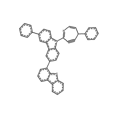 C1#CC(c2ccccc2)C=CN=C1n1c2ccc(-c3ccccc3)cc2c2cc(-c3cccc4c3sc3ccccc34)ccc21